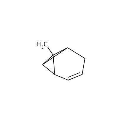 CC12C3C=CCC1C32